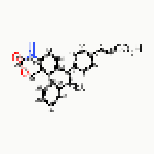 CCC(=C(c1ccc(C=CC(=O)O)cc1)c1ccc2c(c1)COC(=O)N2)c1ccccc1